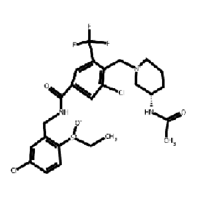 CC[S+]([O-])c1ccc(Cl)cc1CNC(=O)c1cc(Cl)c(CN2CCC[C@H](NC(C)=O)C2)c(C(F)(F)F)c1